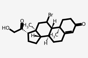 C[C@]12CC(Br)[C@H]3[C@@H](CCC4=CC(=O)CC[C@@]43C)[C@@H]1CC[C@@H]2C(=O)CO